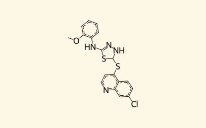 COc1ccccc1NC1=NNC(Sc2ccnc3cc(Cl)ccc23)S1